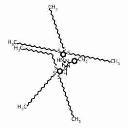 [CH2]c1ccc(-c2nc(Nc3cc(SCCCCCCCCCCCCCCCCCC)c(SCCCCCCCCCCCCCCCCCC)c(SCCCCCCCCCCCCCCCCCC)c3)nc(Nc3cc(SCCCCCCCCCCCCCCCCCC)c(SCCCCCCCCCCCCCCCCCC)c(SCCCCCCCCCCCCCCCCCC)c3)n2)cc1